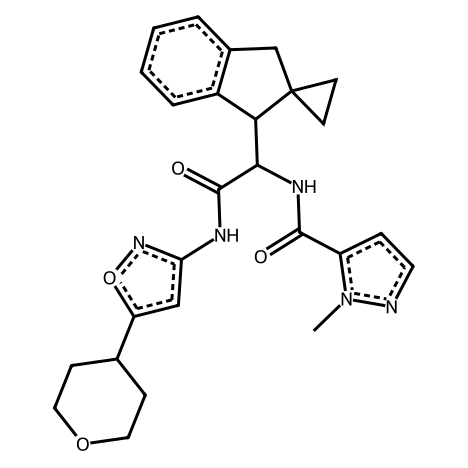 Cn1nccc1C(=O)NC(C(=O)Nc1cc(C2CCOCC2)on1)C1c2ccccc2CC12CC2